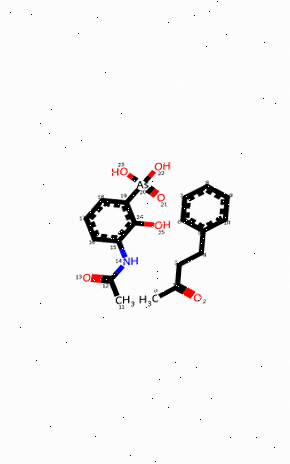 CC(=O)CCc1ccccc1.CC(=O)Nc1cccc([As](=O)(O)O)c1O